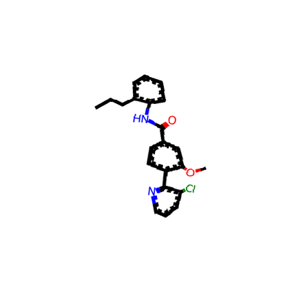 CCCc1ccccc1NC(=O)c1ccc(-c2ncccc2Cl)c(OC)c1